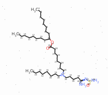 CCCCCCCCC(CCCCCCCC)OC(=O)CCCCCCCN(CCCCCCCC)CCCC/C(N)=N/[S+](N)[O-]